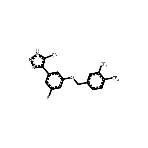 N#Cc1[nH]nnc1-c1cc(F)cc(OCc2ccc(C(F)(F)F)c(C(F)(F)F)c2)c1